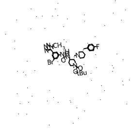 Cn1nnnc1-c1cc(Br)cc(NC(=O)N[C@@H]2CCN(C(=O)OC(C)(C)C)C[C@H]2CN2CCC[C@@H](Cc3ccc(F)cc3)C2)c1